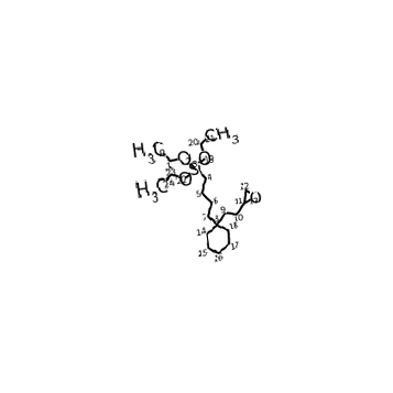 CCO[Si](CCCCC1(CCC2CO2)CCCCC1)(OCC)OCC